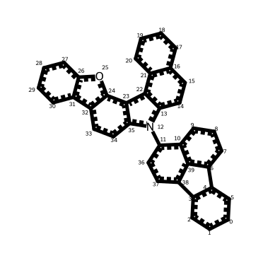 c1ccc2c(c1)-c1cccc3c(-n4c5ccc6ccccc6c5c5c6oc7ccccc7c6ccc54)ccc-2c13